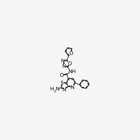 Nc1nc2nc(-c3ccccc3)cc(C(=O)Nc3nnc(-c4ccco4)o3)c2s1